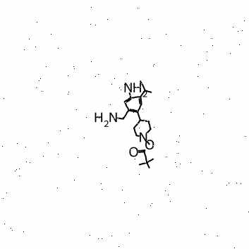 CC(C)c1cc(C2CCN(OC(=O)C(C)(C)C)CC2)c(CN)cc1N